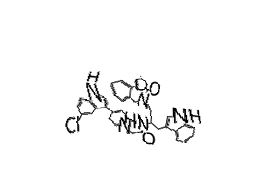 COc1ccccc1CN(CC(Cc1c[nH]c2ccccc12)NC(=O)CN1CC=C(c2c[nH]c3ccc(Cl)cc23)CC1)C(C)=O